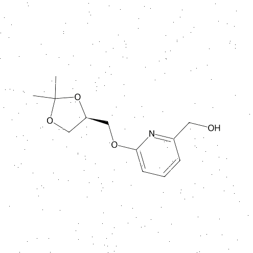 CC1(C)OC[C@H](COc2cccc(CO)n2)O1